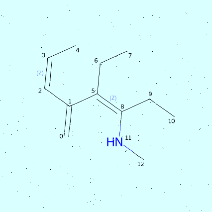 C=C(/C=C\C)/C(CC)=C(/CC)NC